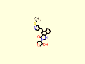 CCSc1cc(Cc2cc3c(=O)n([C@H]4CCOC[C@@H]4O)cnc3c3ccccc23)ccn1